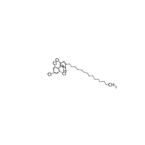 CCCCCCCCCCCCCCCc1cc(=O)n(-c2c(Cl)cc(Cl)cc2Cl)[nH]1